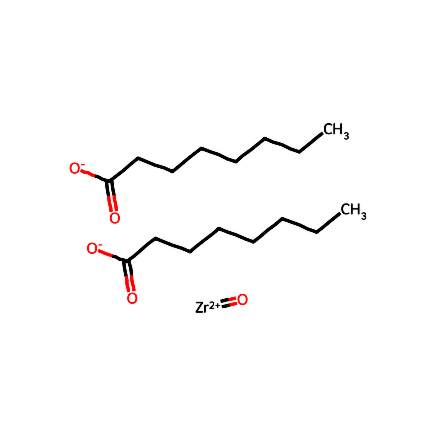 CCCCCCCC(=O)[O-].CCCCCCCC(=O)[O-].[O]=[Zr+2]